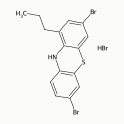 Br.CCCc1cc(Br)cc2c1Nc1ccc(Br)cc1S2